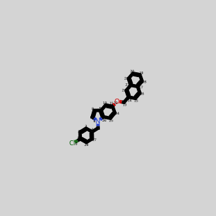 Clc1ccc(Cn2ccc3cc(OCc4ccc5ccccc5c4)ccc32)cc1